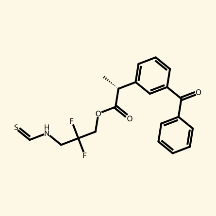 C[C@@H](C(=O)OCC(F)(F)CNC=S)c1cccc(C(=O)c2ccccc2)c1